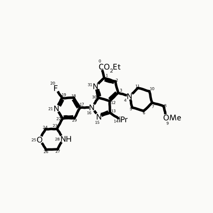 CCOC(=O)c1cc(N2CCC(COC)CC2)c2c(C(C)C)nn(-c3cc(F)nc(C4COCCN4)c3)c2n1